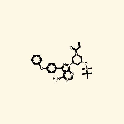 C=CC(=O)N1C[C@H](O[Si](C)(C)C(C)(C)C)C[C@@H](n2nc(-c3ccc(Oc4ccccc4)cc3)c3c(N)ncnc32)C1